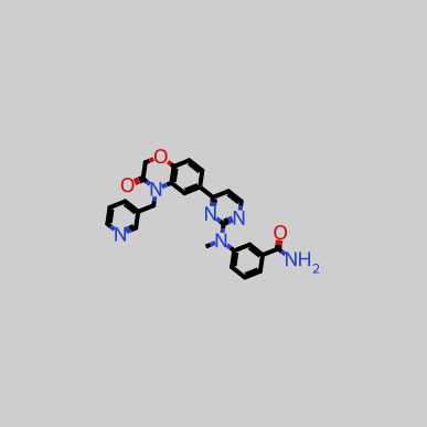 CN(c1cccc(C(N)=O)c1)c1nccc(-c2ccc3c(c2)N(Cc2cccnc2)C(=O)CO3)n1